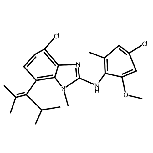 COc1cc(Cl)cc(C)c1Nc1nc2c(Cl)ccc(C(=C(C)C)C(C)C)c2n1C